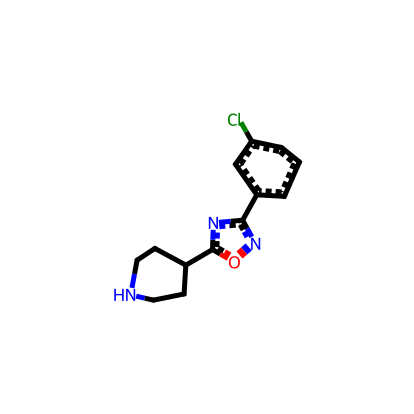 Clc1cccc(-c2noc(C3CCNCC3)n2)c1